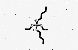 CCCCN[Si](NCCCC)(OCC)OCC